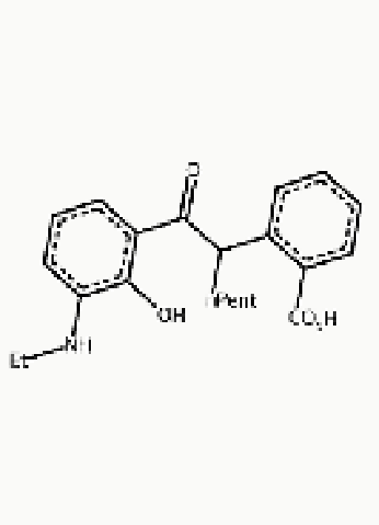 CCCCCC(C(=O)c1cccc(NCC)c1O)c1ccccc1C(=O)O